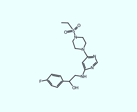 CCS(=O)(=O)N1CCN(c2cc(NCC(O)c3ccc(F)cc3)ncn2)CC1